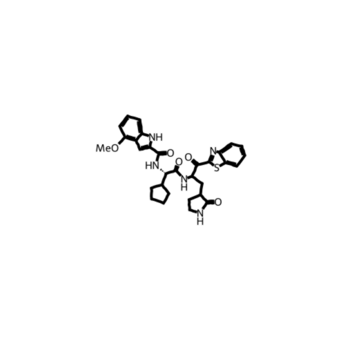 COc1cccc2[nH]c(C(=O)N[C@H](C(=O)NC(CC3CCNC3=O)C(=O)c3nc4ccccc4s3)C3CCCC3)cc12